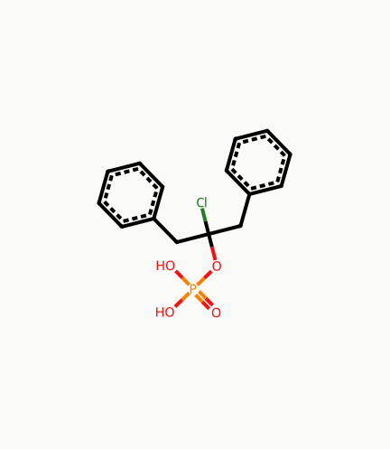 O=P(O)(O)OC(Cl)(Cc1ccccc1)Cc1ccccc1